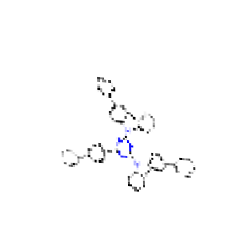 c1ccc(-c2ccc(-c3nc(-n4c5ccccc5c5cc(-c6ccccc6)ccc54)nc(-n4c5ccccc5c5cc(-c6ccccc6)ccc54)n3)cc2)cc1